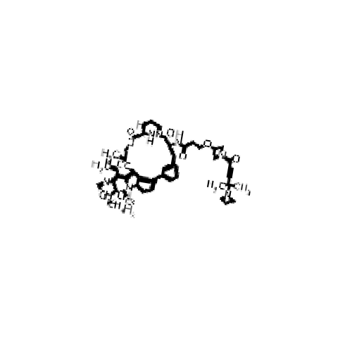 C=C/C(=C(\N=C/C)[C@H](C)OC)c1c2c3cc(ccc3n1CC)-c1cccc(c1)C[C@H](NC(=O)CCOC1CN(C(=O)C#CC(C)(C)N3CCC3)C1)C(=O)N1CCC[C@H](N1)C(=O)OCC(C)(C)C2